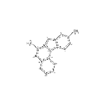 Cc1ccc2c(c1)cc1c(C)nc3ccccc3n12